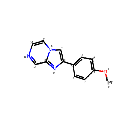 CC(C)Oc1ccc(-c2cn3ccncc3n2)cc1